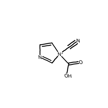 N#C[N+]1(C(=O)O)C=CN=C1